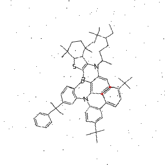 CCC(CCC(C)N1C2=C(SC3C2C(C)(C)CCC3(C)C)B2c3ccc(C(C)(C)c4ccccc4)cc3N(c3ccc(C(C)(C)C)cc3-c3ccc(C(C)(C)C)cc3)c3cc(C)cc1c32)C(C)(C)C